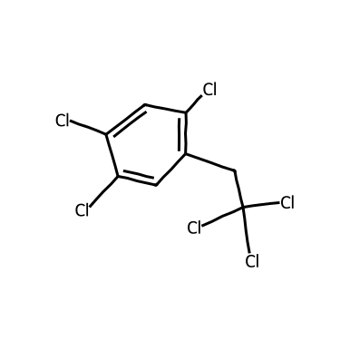 Clc1cc(Cl)c(CC(Cl)(Cl)Cl)cc1Cl